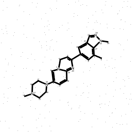 Cc1cc(C2=CCN3C=C(N4CCN(C)CC4)C=CC3=N2)cc2cnn(C)c12